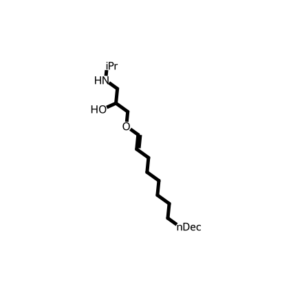 CCCCCCCCCCCCCCCCC=COCC(O)CNC(C)C